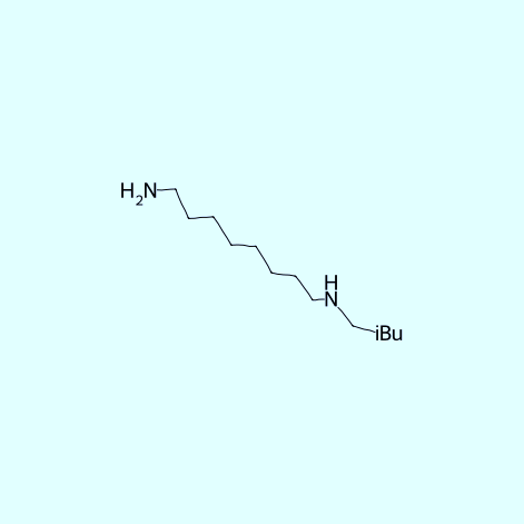 CCC(C)CNCCCCCCCCN